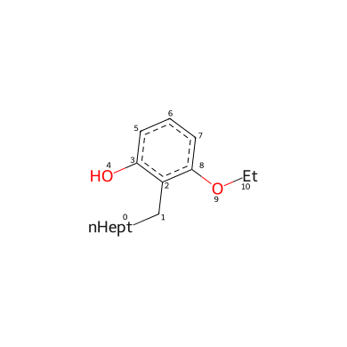 CCCCCCCCc1c(O)cccc1OCC